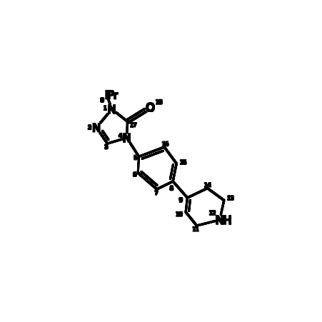 CC(C)n1ncn(-c2ccc(C3=CCNCC3)cc2)c1=O